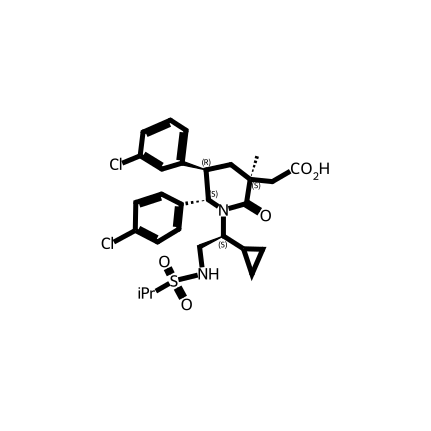 CC(C)S(=O)(=O)NC[C@H](C1CC1)N1C(=O)[C@](C)(CC(=O)O)C[C@H](c2cccc(Cl)c2)[C@H]1c1ccc(Cl)cc1